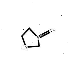 N=S1CCNC1